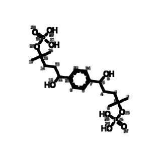 CC(C)(CCC(O)c1ccc(C(O)CCC(C)(C)OP(=O)(O)O)cc1)OP(=O)(O)O